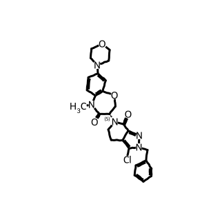 CN1C(=O)[C@@H](N2CCc3c(nn(Cc4ccccc4)c3Cl)C2=O)COc2cc(N3CCOCC3)ccc21